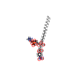 CCCCCCCCCCCCCCCCCCOC(=O)C(CCC(=O)Oc1ccc([N+](=O)[O-])cc1)OC[C@H](CO)OP(=O)([O-])OCC[N+](C)(C)C